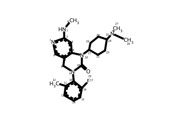 CNc1cc2c(cn1)CN(c1c(C)cccc1F)C(=O)N2C1CCC(N(C)C)CC1